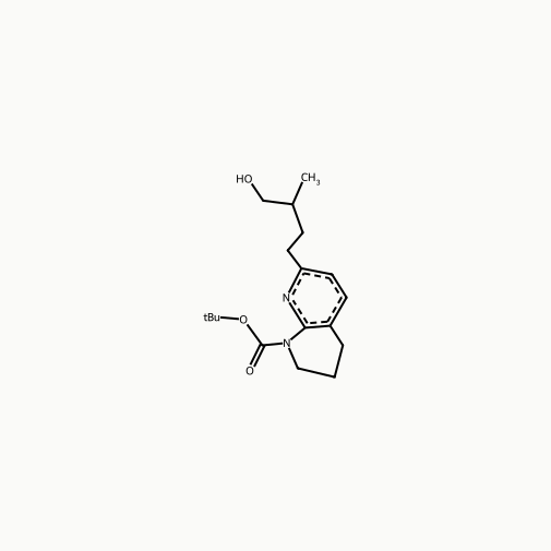 CC(CO)CCc1ccc2c(n1)N(C(=O)OC(C)(C)C)CCC2